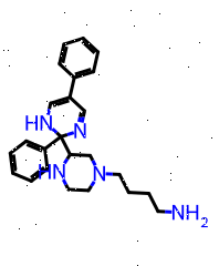 NCCCCN1CCNC(C2(c3ccccc3)N=CC(c3ccccc3)=CN2)C1